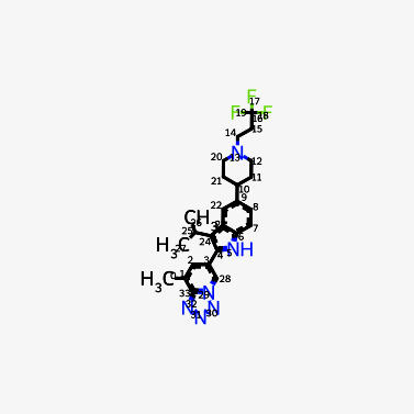 Cc1cc(-c2[nH]c3ccc(C4CCN(CCC(F)(F)F)CC4)cc3c2C(C)C)cn2nnnc12